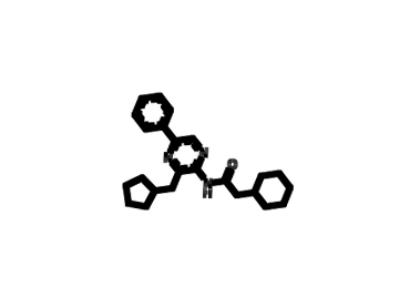 O=C(CC1CCCCC1)Nc1ncc(-c2ccccc2)nc1CC1CCCC1